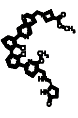 COC(=O)C1CN(Cc2cnc3cc(-c4cccc(-c5cccc(-c6ccc(CNC[C@@H]7CCC(=O)N7)c(OC)n6)c5Cl)c4Cl)ncc3c2)C1